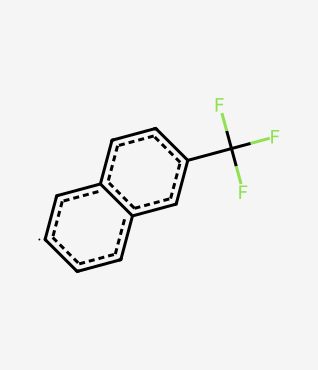 FC(F)(F)c1ccc2c[c]ccc2c1